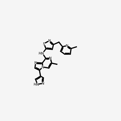 Cc1cccc(Cc2cc(Nc3nc(C)cn4c(-c5cn[nH]c5)cnc34)sn2)n1